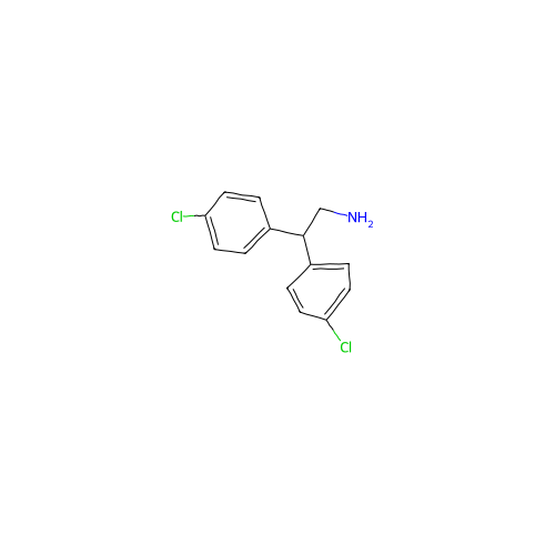 NCC(c1ccc(Cl)cc1)c1ccc(Cl)cc1